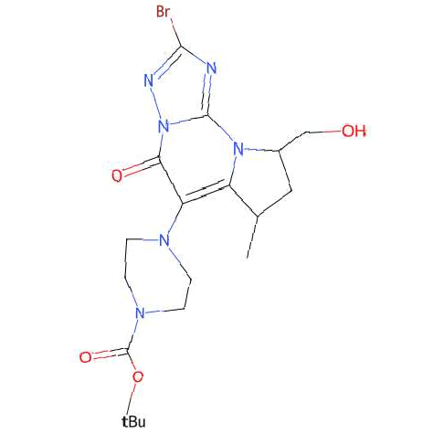 CC1CC(CO)n2c1c(N1CCN(C(=O)OC(C)(C)C)CC1)c(=O)n1nc(Br)nc21